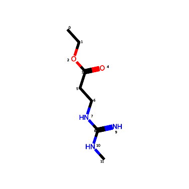 CCOC(=O)CCNC(=N)NC